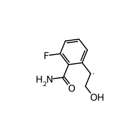 NC(=O)c1c(F)cccc1[CH]CO